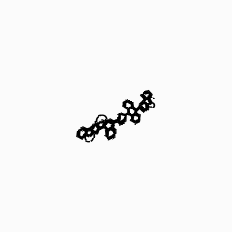 c1ccc2c(c1)oc1cc3c(cc12)oc1cc(-c2ccc(-c4c5ccccc5c(-c5ccc6sc7ccccc7c6c5)c5ccccc45)cc2)c2ccccc2c13